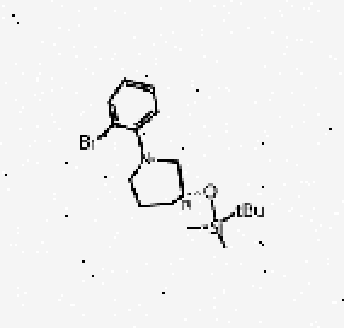 CC(C)(C)[Si](C)(C)O[C@@H]1CCCN(c2ccccc2Br)C1